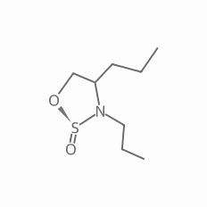 CCCC1CO[S@](=O)N1CCC